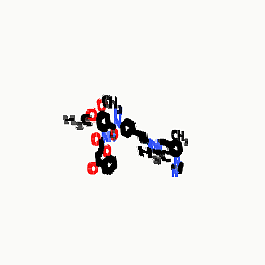 CCN(CCc1ccc(NC(=O)c2cc(OC)c(OC)cc2NC(=O)c2cc(=O)c3ccccc3o2)cc1)Cc1cc(-n2ccnc2)ccc1C